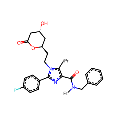 CCN(Cc1ccccc1)C(=O)c1nc(-c2ccc(F)cc2)n(CC[C@@H]2C[C@@H](O)CC(=O)O2)c1C(C)C